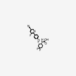 N#Cc1cnc(-c2ccc(OC[C@H]3CC(F)(F)CC[C@@H]3NC(=O)O)cc2)c(F)c1